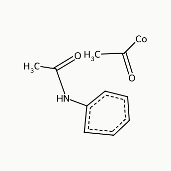 CC(=O)Nc1ccccc1.C[C](=O)[Co]